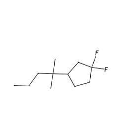 CCCC(C)(C)C1CCC(F)(F)C1